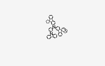 c1cc(N(c2ccc3c(c2)-c2ccccc2C32C3CC4CC(C3)CC2C4)c2ccc3c(c2)C2(CCCC2)c2ccccc2-3)cc(-n2c3ccccc3c3ccccc32)c1